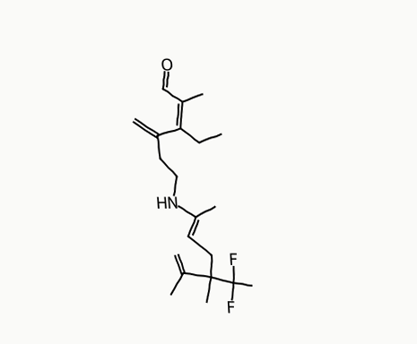 C=C(CCN/C(C)=C/CC(C)(C(=C)C)C(C)(F)F)/C(CC)=C(/C)C=O